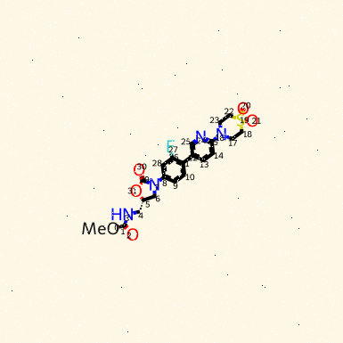 COC(=O)NC[C@H]1CN(c2ccc(-c3ccc(N4CCS(=O)(=O)CC4)nc3)c(F)c2)C(=O)O1